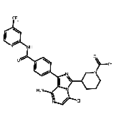 CCC(=O)N1CCCC(c2nc(-c3ccc(C(=O)Nc4cc(C(F)(F)F)ccn4)cc3)c3c(N)ncc(Cl)n23)C1